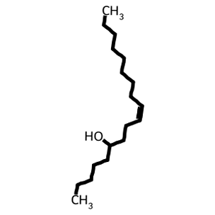 CCCCCCCC/C=C\CCC(O)CCCCC